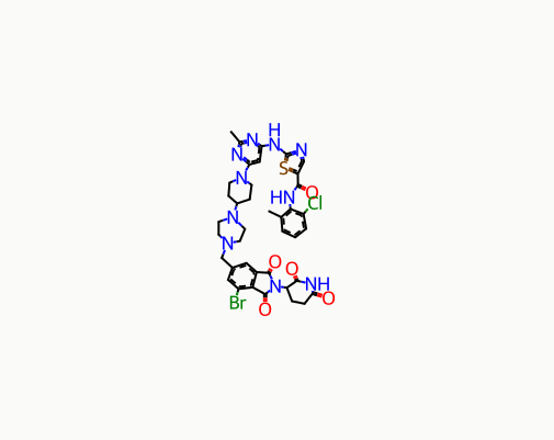 Cc1nc(Nc2ncc(C(=O)Nc3c(C)cccc3Cl)s2)cc(N2CCC(N3CCN(Cc4cc(Br)c5c(c4)C(=O)N(C4CCC(=O)NC4=O)C5=O)CC3)CC2)n1